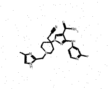 Cc1c[nH]c(CN2CCC(CC#N)(n3cc(C(N)=O)c(Nc4ccnc(F)c4)n3)CC2)n1